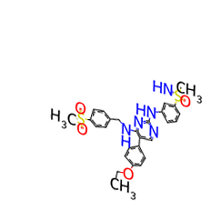 CCOc1ccc(-c2cnc(Nc3cccc(S(C)(=N)=O)c3)nc2NCc2ccc(S(C)(=O)=O)cc2)cc1